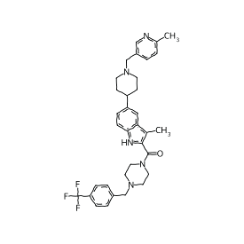 Cc1ccc(CN2CCC(c3ccc4[nH]c(C(=O)N5CCN(Cc6ccc(C(F)(F)F)cc6)CC5)c(C)c4c3)CC2)cn1